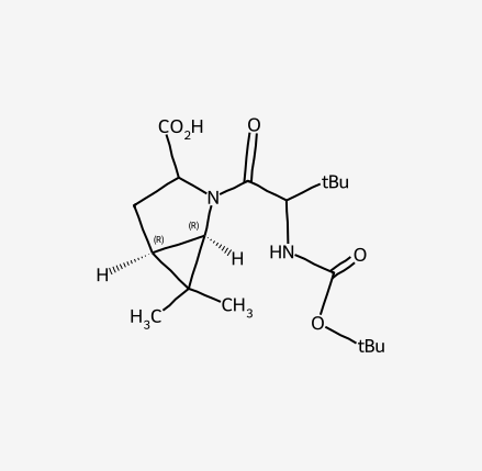 CC(C)(C)OC(=O)NC(C(=O)N1C(C(=O)O)C[C@H]2[C@@H]1C2(C)C)C(C)(C)C